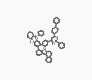 C1=CC2=C(CC1)N(c1ccccc1)c1ccc(-c3cccc4c5c6ccccc6ccc5n(-c5cccc(-c6cc(C7=CCC(c8ccccc8)C=C7)nc(-c7ccccc7)n6)c5)c34)cc1O2